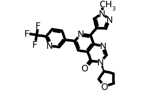 Cn1cc(-c2nc(-c3ccc(C(F)(F)F)nc3)cc3c(=O)n([C@H]4CCOC4)cnc23)cn1